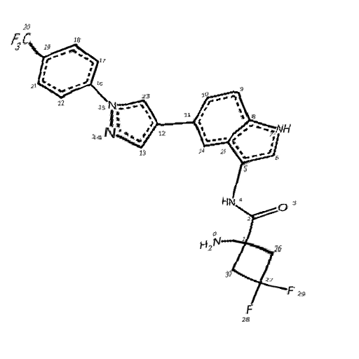 NC1(C(=O)Nc2c[nH]c3ccc(-c4cnn(-c5ccc(C(F)(F)F)cc5)c4)cc23)CC(F)(F)C1